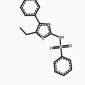 CCc1sc(NS(=O)(=O)c2ccccc2)nc1-c1ccccc1